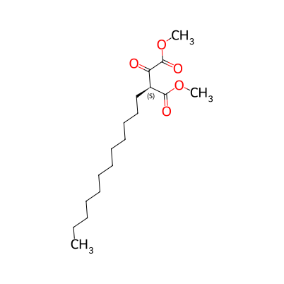 CCCCCCCCCCCC[C@H](C(=O)OC)C(=O)C(=O)OC